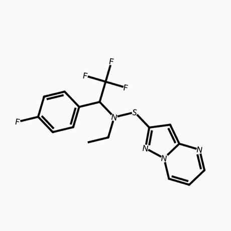 CCN(Sc1cc2ncccn2n1)C(c1ccc(F)cc1)C(F)(F)F